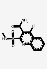 CNS(=O)(=O)c1nc2ccccc2c(Cl)c1C(N)=O